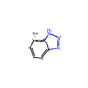 [Fe].c1ccc2[nH]nnc2c1